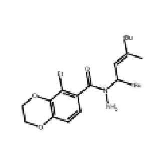 CCc1c(C(=O)N(N)C(C=C(C)C(C)(C)C)C(C)(C)C)ccc2c1OCCO2